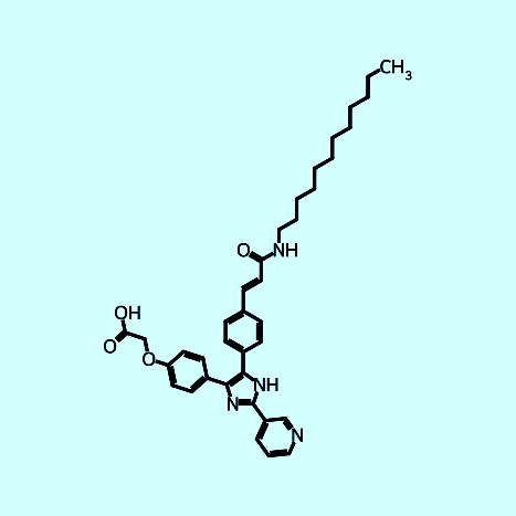 CCCCCCCCCCCCNC(=O)C=Cc1ccc(-c2[nH]c(-c3cccnc3)nc2-c2ccc(OCC(=O)O)cc2)cc1